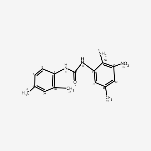 Cc1ccc(NC(=O)Nc2cc(C(F)(F)F)cc([N+](=O)[O-])c2N)c(C)c1